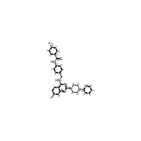 Cc1ccc2c(NCc3ccc(NC(=O)c4ccc(F)cc4)cc3)nc(N3CCN(c4ccccn4)CC3)nc2c1